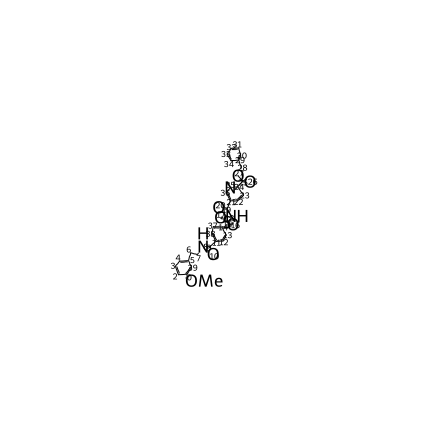 COc1cccc(CCNC(=O)c2ccc(S(=O)(=O)NC(=O)c3ccc(C(=O)OCc4ccccc4)nc3)cc2)c1